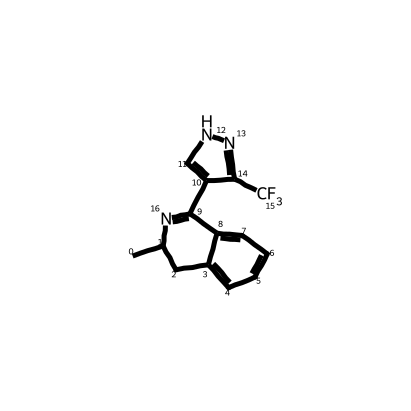 CC1Cc2ccccc2C(c2c[nH]nc2C(F)(F)F)=N1